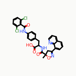 CC1(C(=O)NC(Cc2ccc(NC(=O)c3c(Cl)cccc3Cl)cc2)C(=O)O)CC(c2cccc3cccnc23)=NO1